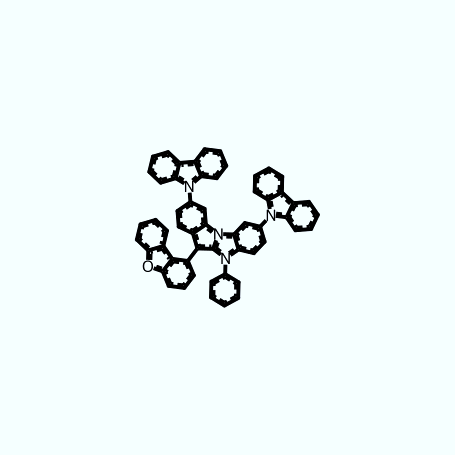 c1ccc(-n2c3ccc(-n4c5ccccc5c5ccccc54)cc3n3c4cc(-n5c6ccccc6c6ccccc65)ccc4c(-c4cccc5oc6ccccc6c45)c23)cc1